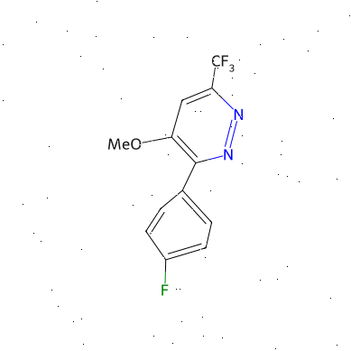 COc1cc(C(F)(F)F)nnc1-c1ccc(F)cc1